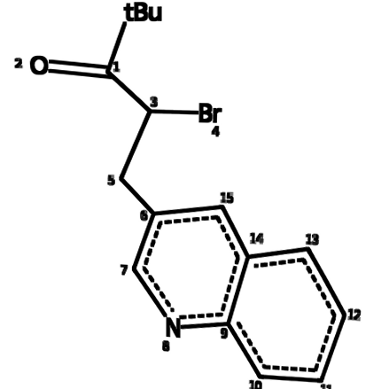 CC(C)(C)C(=O)C(Br)Cc1cnc2ccccc2c1